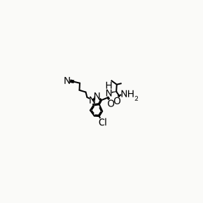 CC(C)[C@H](NC(=O)c1nn(CCCCC#N)c2ccc(Cl)cc12)C(N)=O